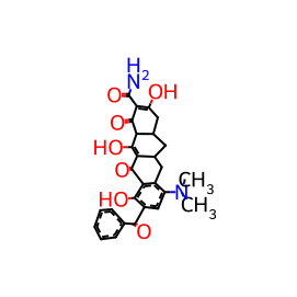 CN(C)c1cc(C(=O)c2ccccc2)c(O)c2c1CC1CC3CC(O)=C(C(N)=O)C(=O)C3C(O)=C1C2=O